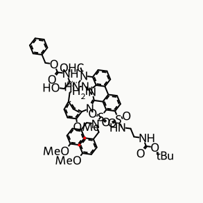 COc1ccc(CN(Cc2ccc(OC)cc2)S(=O)(=O)c2c(S(=O)(=O)NCCNC(=O)OC(C)(C)C)ccc(-c3cccc(N(C=O)C[C@H](CO)NC(=O)OCc4ccccc4)c3N)c2C2=Nc3cc(ccc3OC)CNN=N2)cc1